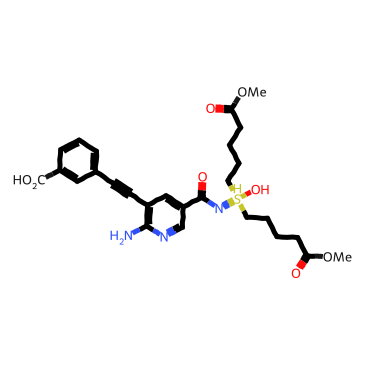 COC(=O)CCCC[SH](O)(CCCCC(=O)OC)=NC(=O)c1cnc(N)c(C#Cc2cccc(C(=O)O)c2)c1